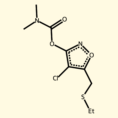 CCSCc1onc(OC(=O)N(C)C)c1Cl